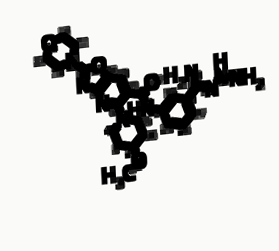 COC1CCN(c2nc3nc(N4CCOCC4)oc3cc2C(=O)Nc2cccc(/C(N)=N/NN)c2)CC1